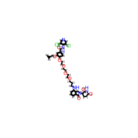 O=C1CCC(N2Cc3c(NCCCOCCOCCOCCOc4ccc(C(=O)Nc5c(Cl)cncc5Cl)cc4OCC4CC4)cccc3C2=O)C(=O)N1